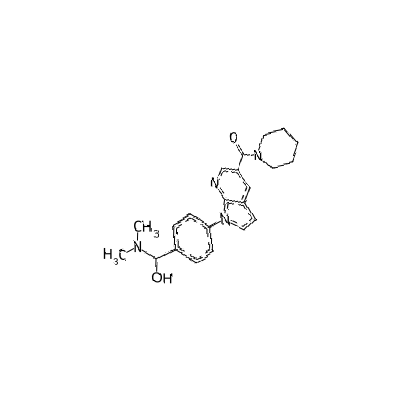 CN(C)C(O)c1ccc(-n2ccc3cc(C(=O)N4CCCCC4)cnc32)cc1